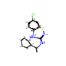 C[C@H](NC1=NSc2cc(Cl)ccc2N1)C1CCCCC1